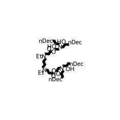 CCCCCCCCCCCC(O)CN(CCOC(=O)CCN(CC)CCCCN(CC)CCC(=O)OCCN(CC(O)CCCCCCCCCCC)CC(O)CCCCCCCCCCC)CC(O)CCCCCCCCCCC